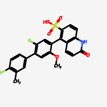 COc1cc(-c2ccc(F)c(C)c2)c(F)cc1-c1c(S(=O)(=O)O)ccc2[nH]c(=O)ccc12